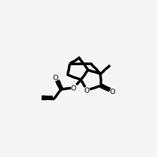 C=CC(=O)OC12CC3CC1C(C)(C3)C(=O)O2